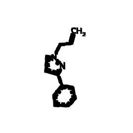 C=CCn1ccc(-c2ccccc2)n1